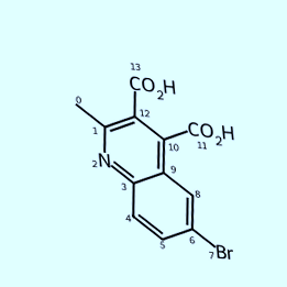 Cc1nc2ccc(Br)cc2c(C(=O)O)c1C(=O)O